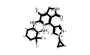 N[C@@H]1[C@H](Nc2nc(-c3cnn(C4CC4)c3)c3c(c2F)CNC3=O)CCCC1(F)F